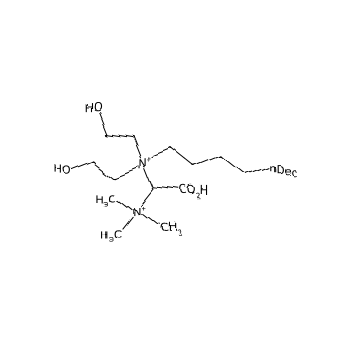 CCCCCCCCCCCCCC[N+](CCO)(CCO)C(C(=O)O)[N+](C)(C)C